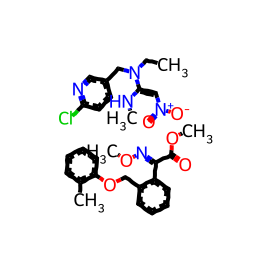 CCN(Cc1ccc(Cl)nc1)/C(=C/[N+](=O)[O-])NC.CO/N=C(/C(=O)OC)c1ccccc1COc1ccccc1C